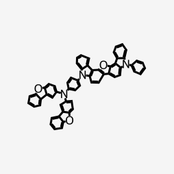 c1ccc(-n2c3ccccc3c3c4oc5c(ccc6c5c5ccccc5n6-c5ccc(N(c6ccc7oc8ccccc8c7c6)c6ccc7oc8ccccc8c7c6)cc5)c4ccc32)cc1